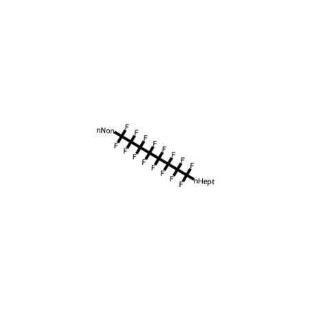 CCCCCCCCCC(F)(F)C(F)(F)C(F)(F)C(F)(F)C(F)(F)C(F)(F)C(F)(F)C(F)(F)CCCCCCC